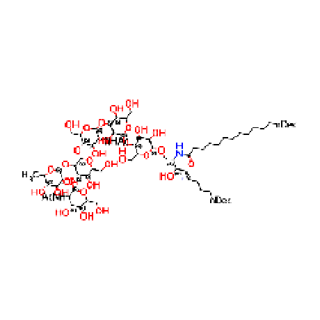 CCCCCCCCCCCCC/C=C/[C@@H](O)[C@H](CO[C@@H]1OC(CO)[C@@H](O[C@@H]2OC(CO)[C@H](O)[C@H](O[C@@H]3OC(CO)[C@@H](O[C@@H]4OC(CO)[C@H](O)[C@H](O[C@H]5OC(CO)[C@H](O)[C@H](O)C5NC(C)=O)C4O[C@H]4OC(C)[C@@H](O)C(O)[C@@H]4O)[C@H](O)C3NC(C)=O)C2O)[C@H](O)C1O)NC(=O)CCCCCCCCCCCCCCCCCCCCC